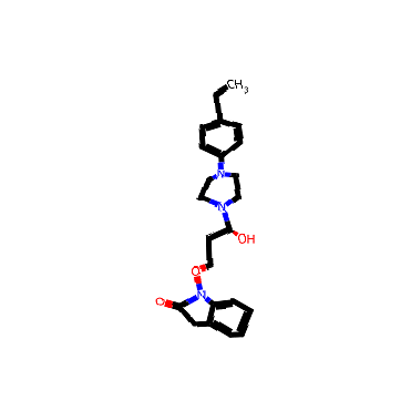 CCc1ccc(N2CCN([C@@H](O)CCON3C(=O)Cc4ccccc43)CC2)cc1